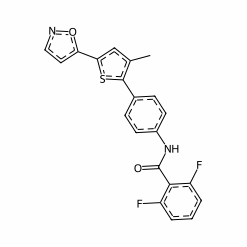 Cc1cc(-c2ccno2)sc1-c1ccc(NC(=O)c2c(F)cccc2F)cc1